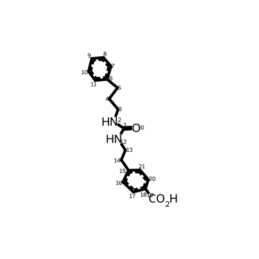 O=C(NCCCc1ccccc1)NCCc1ccc(C(=O)O)cc1